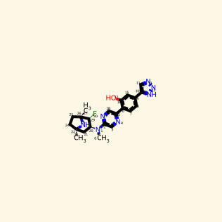 CN(c1cnc(-c2ccc(-c3cnn[nH]3)cc2O)cn1)[C@@H]1C[C@@]2(C)CC[C@](C)(N2)[C@@H]1F